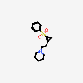 O=S(=O)(c1ccccc1)C1C[C@H]1CCN1CCCCC1